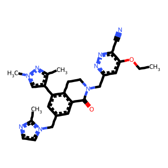 CCOc1cc(CN2CCc3c(cc(Cn4ccnc4C)cc3-c3cn(C)nc3C)C2=O)nnc1C#N